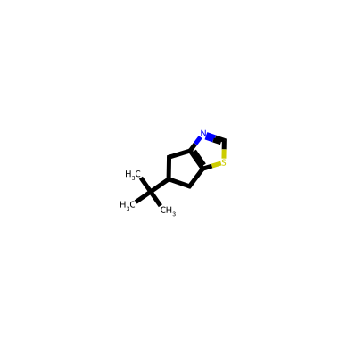 CC(C)(C)C1Cc2ncsc2C1